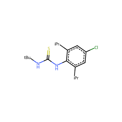 CC(C)c1cc(Cl)cc(C(C)C)c1NC(=S)NC(C)(C)C